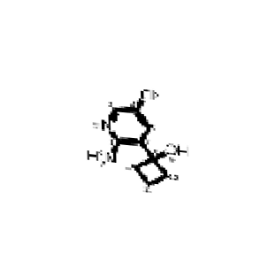 Nc1ncc(Cl)cc1C1(O)CCC1